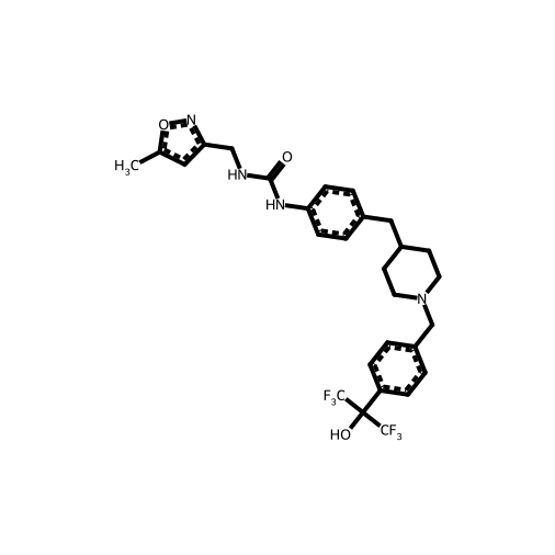 Cc1cc(CNC(=O)Nc2ccc(CC3CCN(Cc4ccc(C(O)(C(F)(F)F)C(F)(F)F)cc4)CC3)cc2)no1